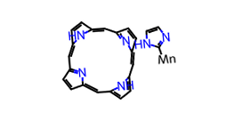 C1=Cc2cc3ccc(cc4nc(cc5ccc(cc1n2)[nH]5)C=C4)[nH]3.[Mn][c]1ncc[nH]1